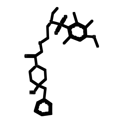 CCN(CCOCC(=O)N1CCC(O)(Cc2ccccc2)CC1)S(=O)(=O)c1c(C)cc(OC)c(C)c1C